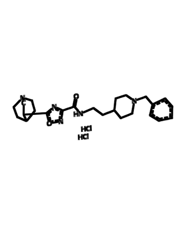 Cl.Cl.O=C(NCCC1CCN(Cc2ccccc2)CC1)c1noc(C2CN3CCC2CC3)n1